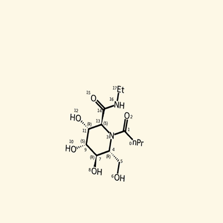 CCCC(=O)N1[C@H](CO)[C@@H](O)[C@H](O)[C@H](O)[C@H]1C(=O)NCC